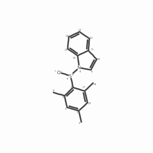 Cc1cc(C)c([S+]([O-])n2ccc3ccccc32)c(C)c1